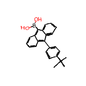 CC(C)(C)c1ccc(-c2c3ccccc3c(B(O)O)c3ccccc23)cc1